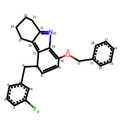 Fc1cccc(CC2C=CC(OCc3ccccc3)=C3N=C4CCCCC4=C32)c1